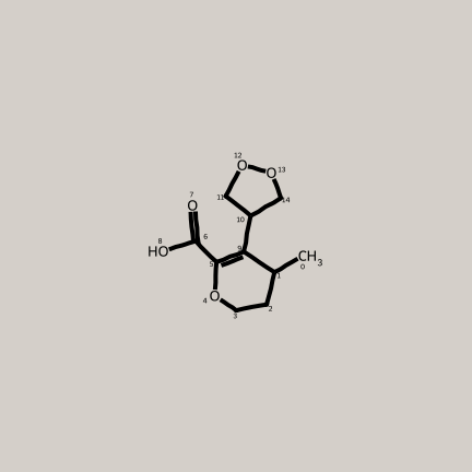 CC1CCOC(C(=O)O)=C1C1COOC1